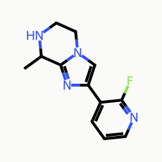 CC1NCCn2cc(-c3cccnc3F)nc21